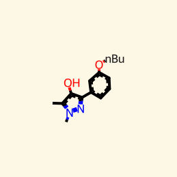 CCCCOc1cccc(-c2nn(C)c(C)c2O)c1